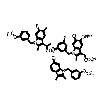 COc1cc2c(CC(=O)O)c(C)n(Cc3cc(F)cc(F)c3)c2cc1Cl.Cc1c(C)n(Cc2cccc(OC(F)(F)F)c2)c2cc(Cl)ccc12.Cc1cc2c(C(C)C(=O)O)c(C)n(Cc3cccc(OC(F)(F)F)c3)c2cc1F